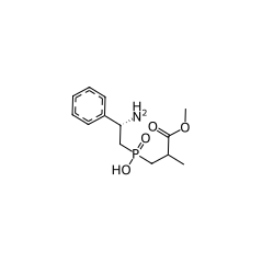 COC(=O)C(C)CP(=O)(O)C[C@@H](N)c1ccccc1